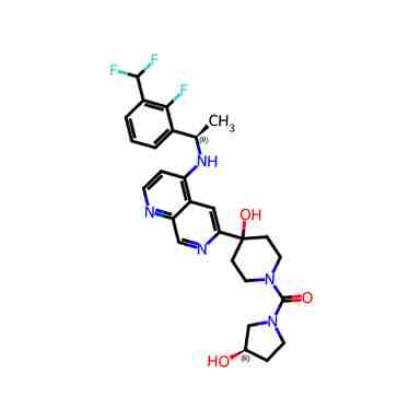 C[C@@H](Nc1ccnc2cnc(C3(O)CCN(C(=O)N4CC[C@@H](O)C4)CC3)cc12)c1cccc(C(F)F)c1F